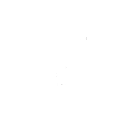 CCCCCCOc1ccccc1C1(CCCC)C=CC(C(=O)O)C=C1